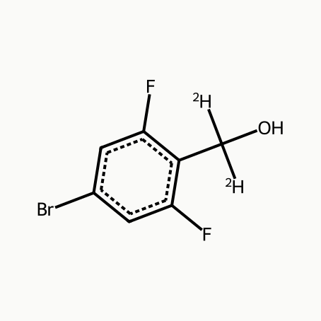 [2H]C([2H])(O)c1c(F)cc(Br)cc1F